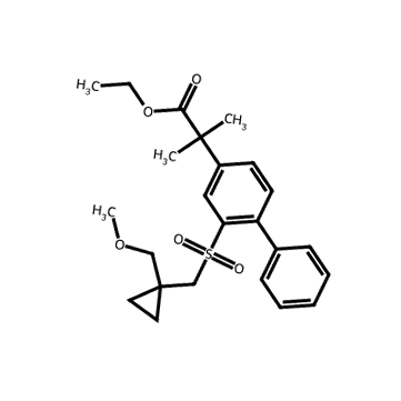 CCOC(=O)C(C)(C)c1ccc(-c2ccccc2)c(S(=O)(=O)CC2(COC)CC2)c1